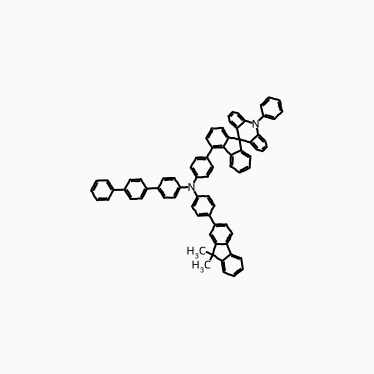 CC1(C)c2ccccc2-c2ccc(-c3ccc(N(c4ccc(-c5ccc(-c6ccccc6)cc5)cc4)c4ccc(-c5cccc6c5-c5ccccc5C65c6ccccc6N(c6ccccc6)c6ccccc65)cc4)cc3)cc21